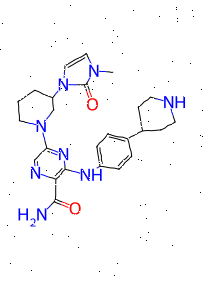 Cn1ccn(C2CCCN(c3cnc(C(N)=O)c(Nc4ccc(C5CCNCC5)cc4)n3)C2)c1=O